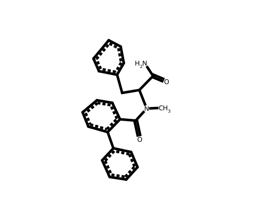 CN(C(=O)c1ccccc1-c1ccccc1)C(Cc1ccccc1)C(N)=O